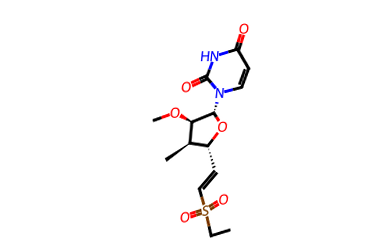 CCS(=O)(=O)/C=C/[C@H]1O[C@@H](n2ccc(=O)[nH]c2=O)[C@H](OC)[C@@H]1C